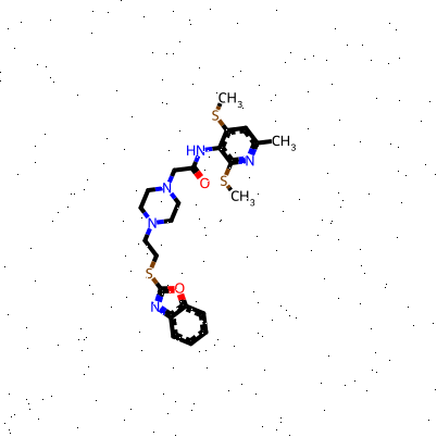 CSc1cc(C)nc(SC)c1NC(=O)CN1CCN(CCSc2nc3ccccc3o2)CC1